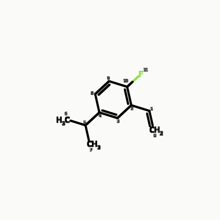 C=Cc1cc(C(C)C)ccc1F